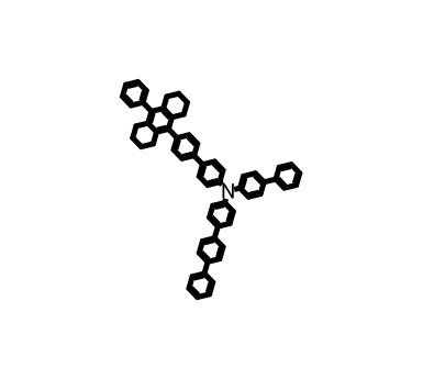 c1ccc(-c2ccc(-c3ccc(N(c4ccc(-c5ccccc5)cc4)c4ccc(-c5ccc(-c6c7c(c(-c8ccccc8)c8c6CCCC8)CCCC7)cc5)cc4)cc3)cc2)cc1